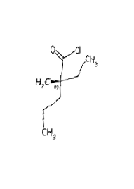 CCC[C@@](C)(CC)C(=O)Cl